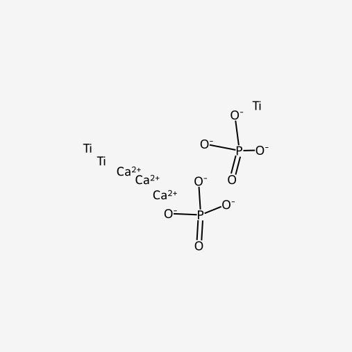 O=P([O-])([O-])[O-].O=P([O-])([O-])[O-].[Ca+2].[Ca+2].[Ca+2].[Ti].[Ti].[Ti]